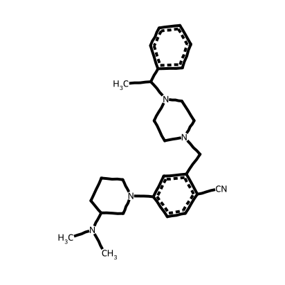 CC(c1ccccc1)N1CCN(Cc2cc(N3CCCC(N(C)C)C3)ccc2C#N)CC1